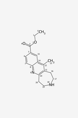 CCOC(=O)c1ccc2nc3c(c(C)c2c1)CCNCC3